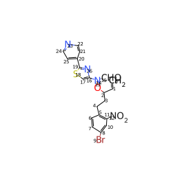 C=CC(CCc1ccc(Br)cc1[N+](=O)[O-])ON(C=O)c1csc(-c2ccncc2)n1